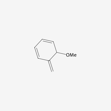 C=C1C=CC=CC1OC